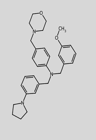 COc1cccc(CN(Cc2cccc(N3CCCC3)c2)c2ccc(CN3CCOCC3)cc2)c1